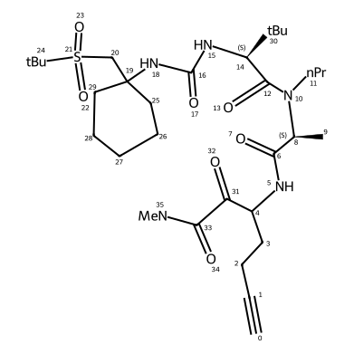 C#CCCC(NC(=O)[C@H](C)N(CCC)C(=O)[C@@H](NC(=O)NC1(CS(=O)(=O)C(C)(C)C)CCCCC1)C(C)(C)C)C(=O)C(=O)NC